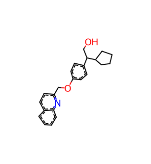 OCC(c1ccc(OCc2ccc3ccccc3n2)cc1)C1CCCC1